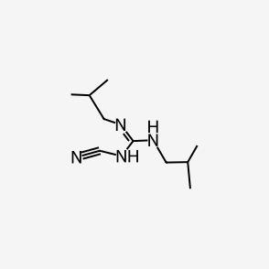 CC(C)C/N=C(\NC#N)NCC(C)C